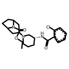 CCOC(=O)N1C2CCC1CC(N1CCC[C@@H](NC(=O)c3ccccc3Cl)C1)C2